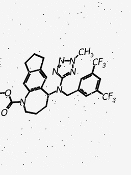 CC(C)OC(=O)N1CCCC(N(Cc2cc(C(F)(F)F)cc(C(F)(F)F)c2)c2nnn(C)n2)c2cc3c(cc21)CCC3